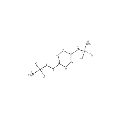 CC(C)(N)CCC1CCC(O[Si](C)(C)C(C)(C)C)CC1